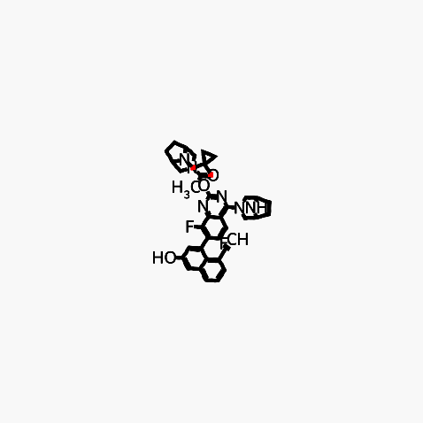 C#Cc1cccc2cc(O)cc(-c3c(F)cc4c(N5CC6CCC(C5)N6)nc(OCC5(CN6C7CCC6CN(C(C)=O)C7)CC5)nc4c3F)c12